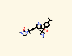 CC(C)c1ccc(C(O)(c2cncc(C#CC(C)(C)N3CCN(C)C3=O)c2)C2(C)CN(C)C2)cc1